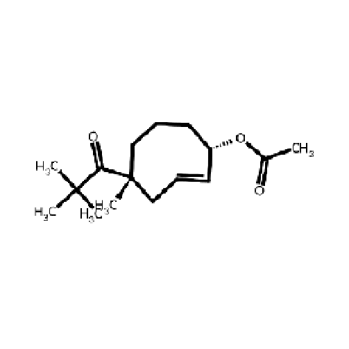 CC(=O)O[C@@H]1/C=C/C[C@](C)(C(=O)C(C)(C)C)CCC1